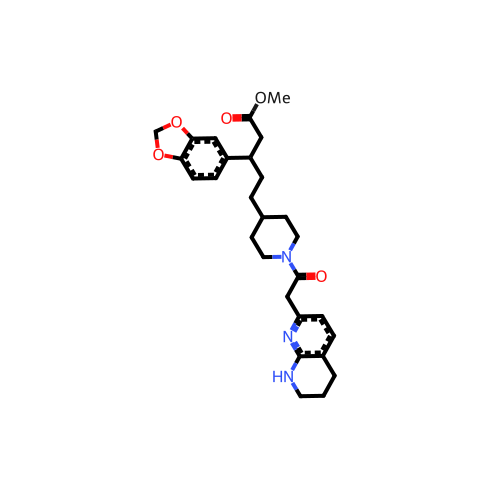 COC(=O)CC(CCC1CCN(C(=O)Cc2ccc3c(n2)NCCC3)CC1)c1ccc2c(c1)OCO2